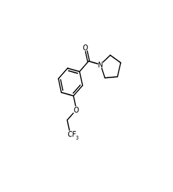 O=C(c1cccc(OCC(F)(F)F)c1)N1CCCC1